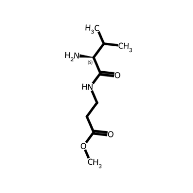 COC(=O)CCNC(=O)[C@@H](N)C(C)C